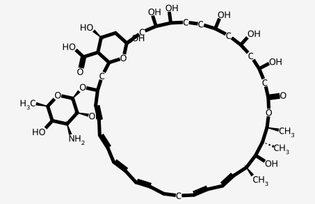 C[C@@H]1OC(=O)CC(O)CC(O)CC(O)CCC(O)C(O)CC2(O)C[C@H](O)C(C(=O)O)C(CC(O[C@@H]3O[C@H](C)C(O)[C@H](N)[C@@H]3O)/C=C/C=C/C=C/C=C/CC/C=C/C=C/[C@H](C)C(O)[C@H]1C)O2